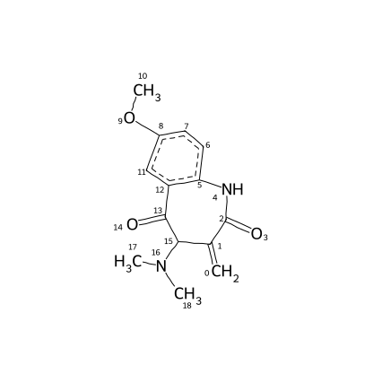 C=C1C(=O)Nc2ccc(OC)cc2C(=O)C1N(C)C